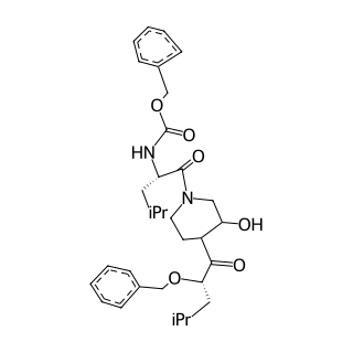 CC(C)C[C@H](NC(=O)OCc1ccccc1)C(=O)N1CCC(C(=O)[C@H](CC(C)C)OCc2ccccc2)C(O)C1